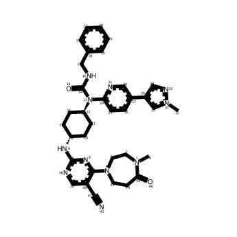 CN1CCN(c2nc(N[C@H]3CC[C@H](N(C(=O)NCc4ccccc4)c4ccc(-c5cnn(C)c5)cn4)CC3)ncc2C#N)CCC1=O